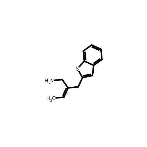 C/C=C(\CN)Cc1cc2ccccc2s1